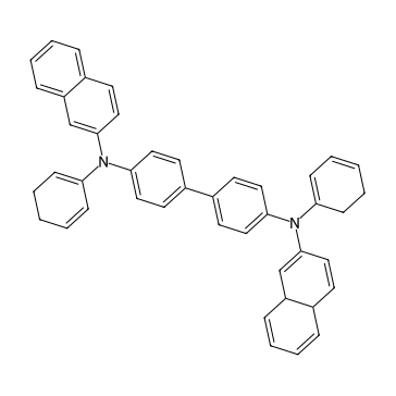 C1=CCCC(N(C2=CC3C=CC=CC3C=C2)c2ccc(-c3ccc(N(C4=CCCC=C4)c4ccc5ccccc5c4)cc3)cc2)=C1